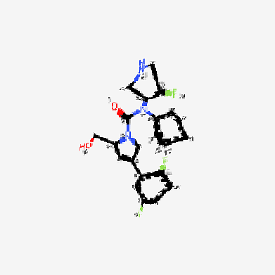 O=C(N1CC(c2cc(F)ccc2F)=CC1CO)N(c1ccccc1)C1CNCC1F